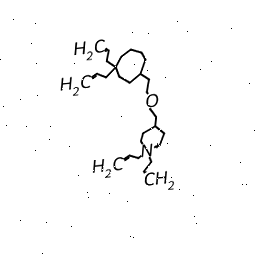 C=CCC1(CC=C)CCCCC(CCOCCC2CC[N+](CC=C)(CC=C)CC2)CC1